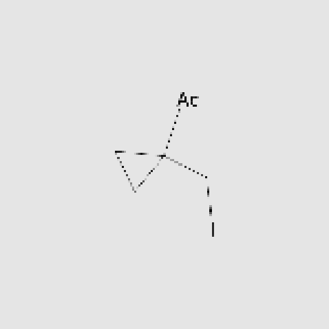 CC(=O)C1(CI)CC1